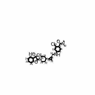 CN(C)C(=O)c1ccc(NC[C@H]2C[C@@H]2C2CCN(C(=O)C(O)(c3ccccc3)C(F)(F)F)CC2)cc1Cl